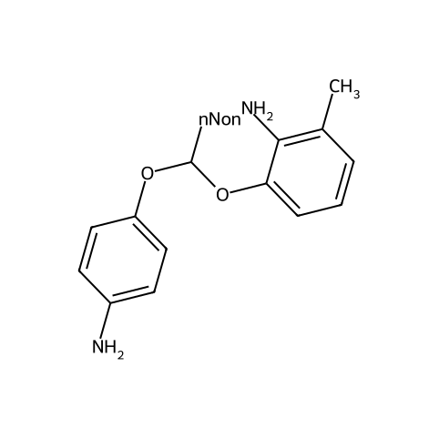 CCCCCCCCCC(Oc1ccc(N)cc1)Oc1cccc(C)c1N